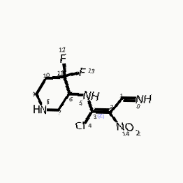 N=C/C(=C(/Cl)NC1CNCCC1(F)F)[N+](=O)[O-]